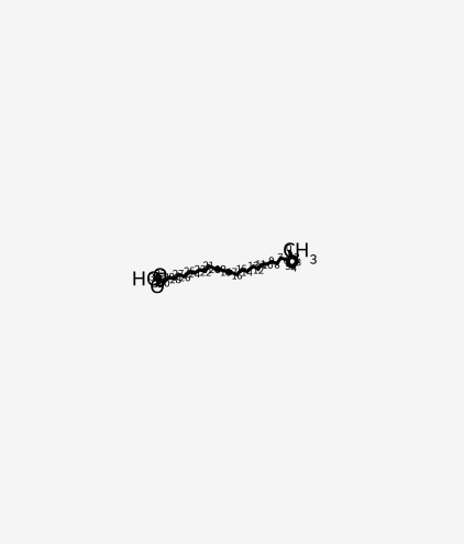 Cc1ccccc1CCCCCCCCCCC#CC#CCCCCCCCCCCS(=O)(=O)O